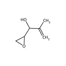 C=C(C)C(O)C1CO1